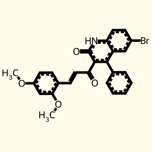 COc1ccc(C=CC(=O)c2c(-c3ccccc3)c3cc(Br)ccc3[nH]c2=O)c(OC)c1